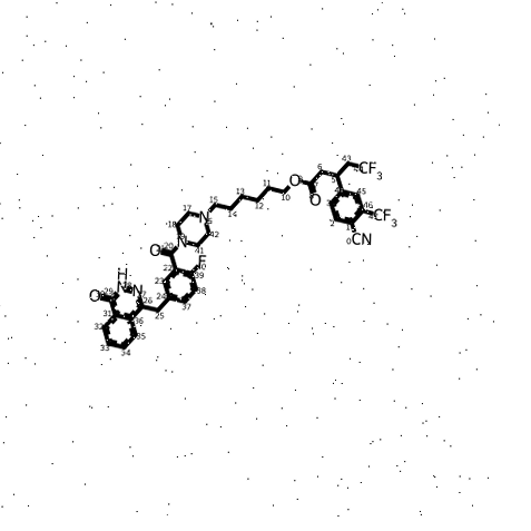 N#Cc1ccc(C(CC(=O)OCCCCCCN2CCN(C(=O)c3cc(Cc4n[nH]c(=O)c5ccccc45)ccc3F)CC2)CC(F)(F)F)cc1C(F)(F)F